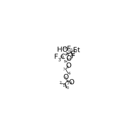 C=C(C)C(=O)OCCOCOC(O)(C(F)(F)F)C(F)(F)CC